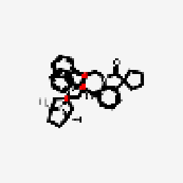 Cc1nc2ccccc2n1C1C[C@H]2CC[C@@H](C1)N2CCC1(c2ccccc2)CCN(C(=O)C2(c3ccccc3)CCCC2)CC1